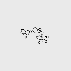 Cc1oc2ccc(OCc3cccnc3C(F)F)cc2c1C(=O)NC1(C(N)=O)COC1